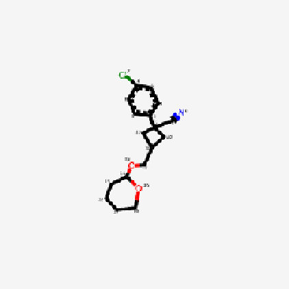 N#CC1(c2ccc(Cl)cc2)CC(COC2CCCCO2)C1